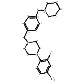 Fc1cc(C(F)(F)F)ccc1N1CCN(Cc2ccc(CN3CCCCC3)cc2)CC1